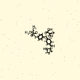 CN(C)S(=O)(=O)Cc1ccc(Cc2ccc(NC3=NCCN3)cc2)cc1.O=C(O)C(=O)O